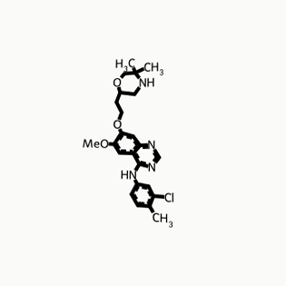 COc1cc2c(Nc3ccc(C)c(Cl)c3)ncnc2cc1OCCC1CNC(C)(C)CO1